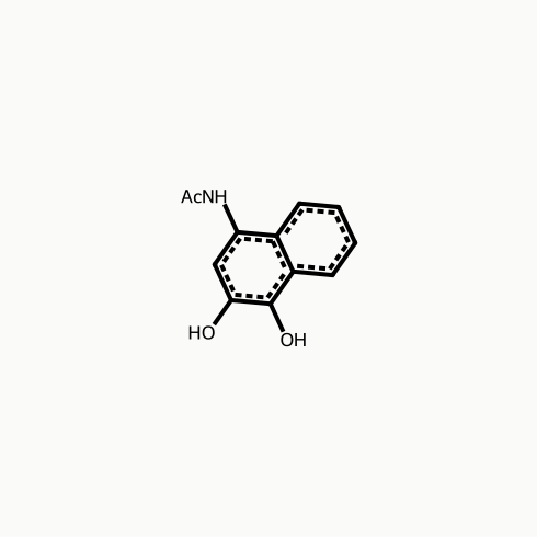 CC(=O)Nc1cc(O)c(O)c2ccccc12